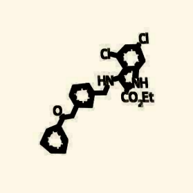 CCOC(=O)c1[nH]c2cc(Cl)cc(Cl)c2c1NCc1cccc(CC(=O)c2ccccc2)c1